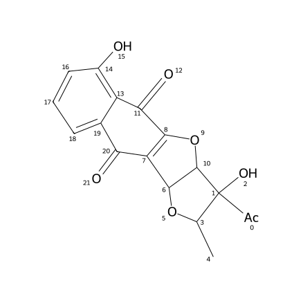 CC(=O)C1(O)C(C)OC2C3=C(OC21)C(=O)c1c(O)cccc1C3=O